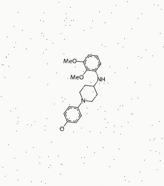 COc1cccc(NC2CCN(c3ccc([O])cc3)CC2)c1OC